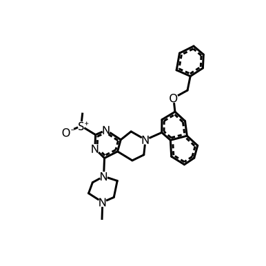 CN1CCN(c2nc([S+](C)[O-])nc3c2CCN(c2cc(OCc4ccccc4)cc4ccccc24)C3)CC1